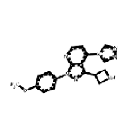 FC(F)(F)Oc1ccc(-n2nc(C3CNC3)c3c(-n4cnnc4)ccnc32)cc1